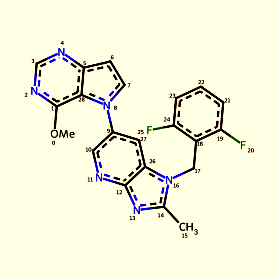 COc1ncnc2ccn(-c3cnc4nc(C)n(Cc5c(F)cccc5F)c4c3)c12